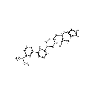 CC(C)c1cccc(-c2cccc(N3CCC(CN(Cc4cscn4)C(=O)O)CC3)n2)c1